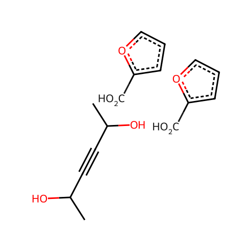 CC(O)C#CC(C)O.O=C(O)c1ccco1.O=C(O)c1ccco1